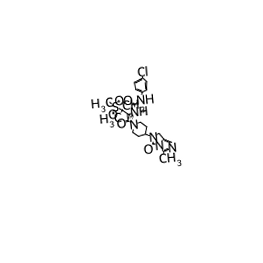 Cc1ncc2n1C(=O)N(C1CCN(C(=O)[C@H](NC(=O)Nc3ccc(Cl)cc3)C(C)(C)S(C)(=O)=O)CC1)C2